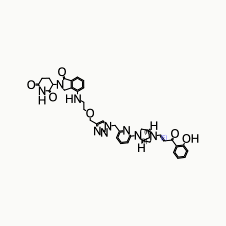 O=C1CCC(N2Cc3c(NCCOCc4cn(Cc5cccc(N6C[C@H]7C[C@@H]6CN7/C=C/C(=O)c6ccccc6O)n5)nn4)cccc3C2=O)C(=O)N1